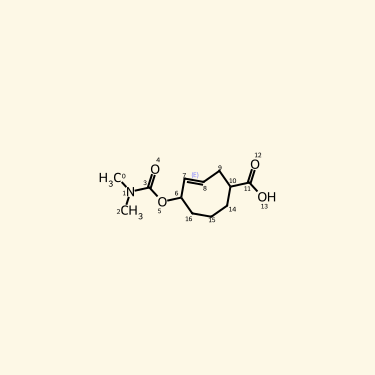 CN(C)C(=O)OC1/C=C/CC(C(=O)O)CCC1